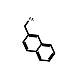 CC(=O)Cc1ccc2ccccc2c1